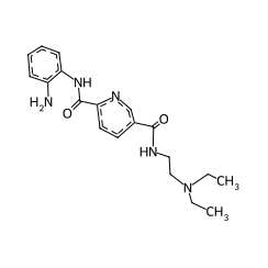 CCN(CC)CCNC(=O)c1ccc(C(=O)Nc2ccccc2N)nc1